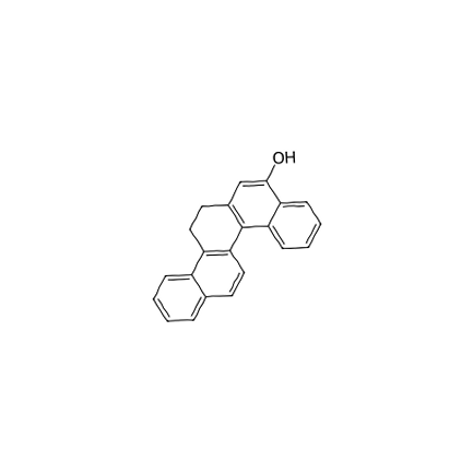 Oc1cc2c(c3ccccc13)-c1ccc3ccccc3c1CC2